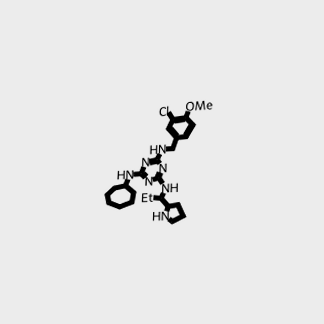 CCC(Nc1nc(NCc2ccc(OC)c(Cl)c2)nc(NC2CCCCCC2)n1)C1CCCN1